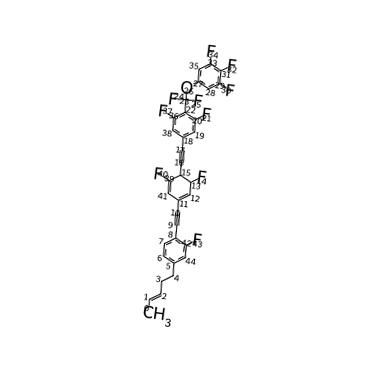 C/C=C/CCc1ccc(C#CC2=CC(F)C(C#Cc3cc(F)c(C(F)(F)Oc4cc(F)c(F)c(F)c4)c(F)c3)C(F)=C2)c(F)c1